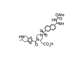 COC(=O)NC(=N)c1ccc2cc(S(=O)(=O)N3CCN(C(=O)c4nc5c(s4)CNC(C)C5)C(CC(=O)O)C3)ccc2c1